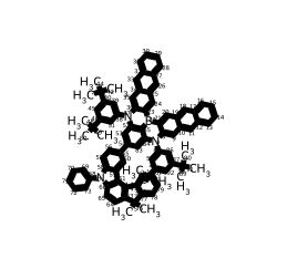 CC(C)(C)c1cc(N2c3cc4cc5ccccc5cc4cc3B3c4cc5cc6ccccc6cc5cc4N(c4cc(C(C)(C)C)cc(C(C)(C)C)c4)c4cc(-c5ccc6c(c5)c5c7c(ccc5n6-c5ccccc5)C(C)(C)c5ccccc5-7)cc2c43)cc(C(C)(C)C)c1